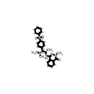 C[C@H](Nc1nn(C)c(=O)c2ccccc12)[C@H](c1ccc(S(=O)(=O)C2=CC=CCC2)cc1)N(C)C